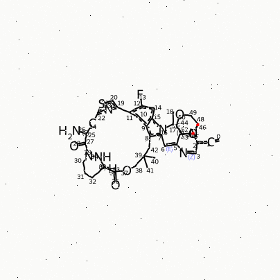 C=C=C(/C=N\C(=C\c1c2c3cc(c(F)cc3n1CC)-c1csc(n1)C[C@H](N)C(=O)N1CCC[C@H](N1)C(=O)OCC(C)(C)C2)[C@H](C)OC)N1CCOCC1